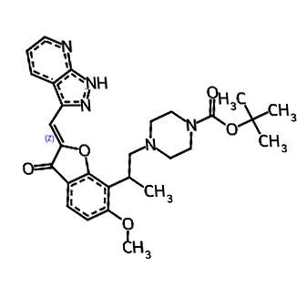 COc1ccc2c(c1C(C)CN1CCN(C(=O)OC(C)(C)C)CC1)O/C(=C\c1n[nH]c3ncccc13)C2=O